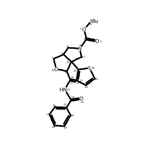 CC(C)(C)OC(=O)N1CC2COC(C(=S)NC(=O)c3ccccc3)C2(c2cccs2)C1